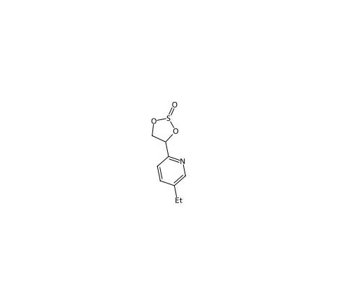 CCc1ccc(C2COS(=O)O2)nc1